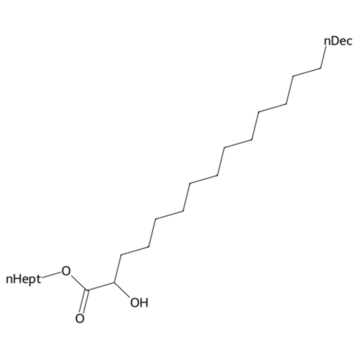 CCCCCCCCCCCCCCCCCCCCCCC(O)C(=O)OCCCCCCC